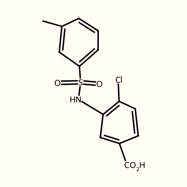 Cc1[c]ccc(S(=O)(=O)Nc2cc(C(=O)O)ccc2Cl)c1